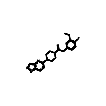 C=C(Cc1ccc(F)c(CC)c1)N1CCN(c2ccc3nncn3n2)CC1